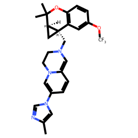 Cc1cn(C2=CN3CCN(C[C@]45C[C@H]4C(C)(C)Oc4ccc(OC(F)(F)F)cc45)C=C3C=C2)cn1